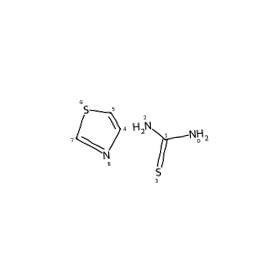 NC(N)=S.c1cscn1